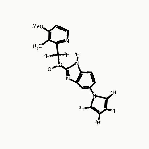 [2H]c1c([2H])c([2H])n(-c2ccc3c(c2)nc([S+]([O-])C([2H])([2H])c2nccc(OC)c2C)n3[2H])c1[2H]